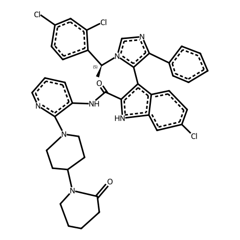 C[C@@H](c1ccc(Cl)cc1Cl)n1cnc(-c2ccccc2)c1-c1c(C(=O)Nc2cccnc2N2CCC(N3CCCCC3=O)CC2)[nH]c2cc(Cl)ccc12